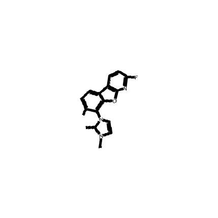 Cc1ccc2c(oc3nc(F)ccc32)c1N1C=CN(C)C1C